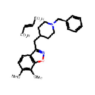 COc1ccc2c(CC3CCN(Cc4ccccc4)CC3)noc2c1OC.O=C(O)C=CC(=O)O